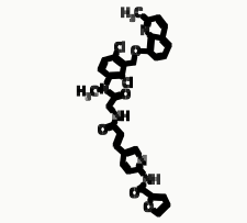 Cc1ccc2cccc(OCc3c(Cl)ccc(N(C)C(=O)CNC(=O)C=Cc4ccc(NC(=O)c5ccco5)nc4)c3Cl)c2n1